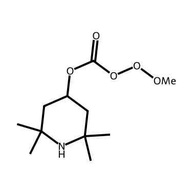 COOOC(=O)OC1CC(C)(C)NC(C)(C)C1